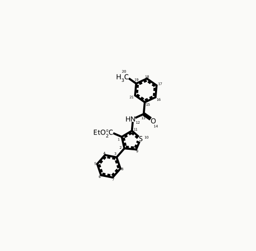 CCOC(=O)c1c(-c2ccccc2)csc1NC(=O)c1cccc(C)c1